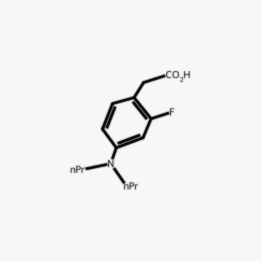 CCCN(CCC)c1ccc(CC(=O)O)c(F)c1